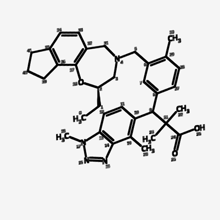 CC[C@@H]1CN(Cc2cc(C(c3ccc4c(nnn4C)c3C)C(C)(C)C(=O)O)ccc2C)Cc2ccc3c(c2O1)CCC3